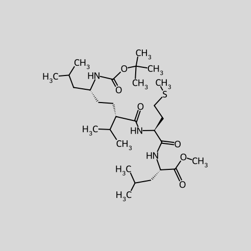 COC(=O)[C@H](CC(C)C)NC(=O)[C@H](CCSC)NC(=O)[C@@H](CC[C@H](CC(C)C)NC(=O)OC(C)(C)C)C(C)C